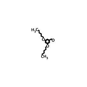 CCCCCCOc1cc(C=O)cc(OCCCCCC)c1